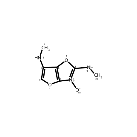 CNc1coc2c1oc(NC)[n+]2[O-]